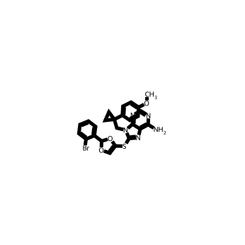 COc1ccc(C2(Cn3c(SC4=COC(c5ccccc5Br)O4)nc4c(N)ncnc43)CC2)cc1